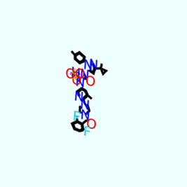 Cc1ccc(-n2nc(C3(C)CC3)cc2NC(=O)N(OS(C)(=O)=O)c2cnc(N3CCN(C(=O)c4c(F)cccc4F)CC3)c(C)c2)cc1